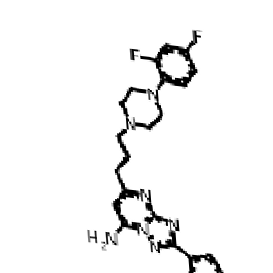 Nc1cc(CCCN2CCN(c3ccc(F)cc3F)CC2)nc2nc(-c3ccco3)nn12